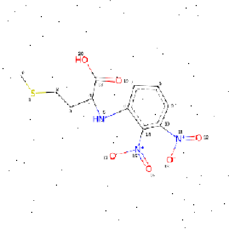 CSCCC(Nc1cccc([N+](=O)[O-])c1[N+](=O)[O-])C(=O)O